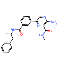 CNC(=O)c1nc(-c2cccc(C(=O)NC(C)Cc3ccccc3)c2)cnc1N